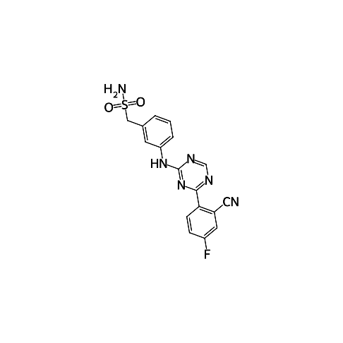 N#Cc1cc(F)ccc1-c1ncnc(Nc2cccc(CS(N)(=O)=O)c2)n1